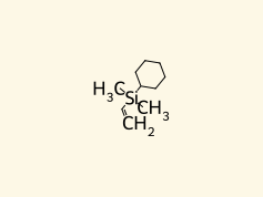 C=C[Si](C)(C)C1CCCCC1